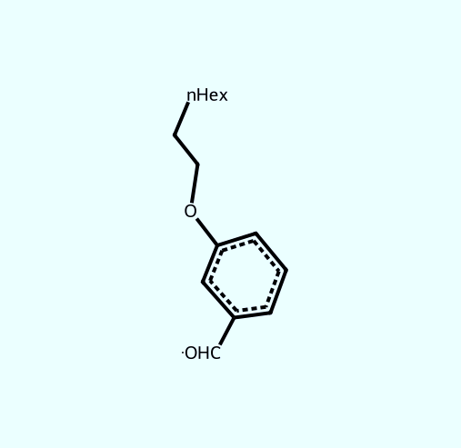 CCCCCCCCOc1cccc([C]=O)c1